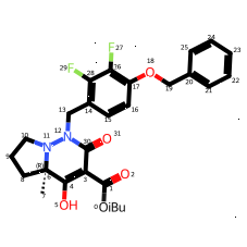 CC(C)COC(=O)C1=C(O)[C@@]2(C)CCCN2N(Cc2ccc(OCc3ccccc3)c(F)c2F)C1=O